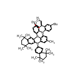 C/C=C(\C=C/CC)c1cc(C(C)(C)C)ccc1N1c2cc(Cl)ccc2B2c3cc4c(cc3N(c3ccc5c(c3)C(C)(C)CCC5(C)C)c3cc(C)cc1c32)C(C)(C)CCC4(C)C